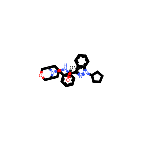 COc1ccccc1CN1C2COCC1CC(NC(=O)c1nn(C3CCCC3)c3ccccc13)C2